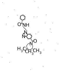 CC1CN(C(=O)c2ccc3c(c2)ncn3CCNC(=O)c2ccccc2)CCC(C)(C)C1